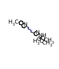 Cc1ccc2nc(/C=C/C=C/c3ccc(NC(=O)OC(C)(C)C)nc3)ccc2c1